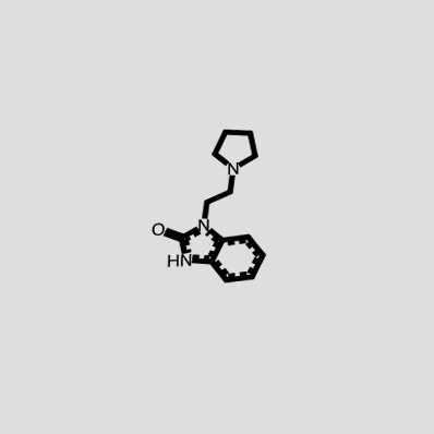 O=c1[nH]c2ccccc2n1CCN1CCCC1